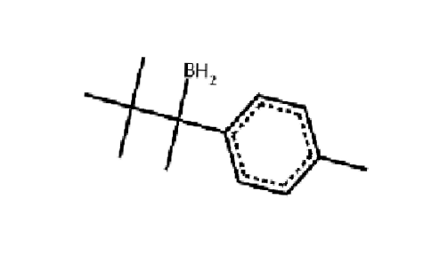 BC(C)(c1ccc(C)cc1)C(C)(C)C